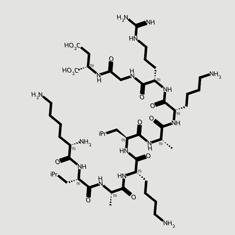 CC(C)C[C@H](NC(=O)[C@H](CCCCN)NC(=O)[C@H](C)NC(=O)[C@H](CC(C)C)NC(=O)[C@@H](N)CCCCN)C(=O)N[C@@H](C)C(=O)N[C@@H](CCCCN)C(=O)N[C@@H](CCCNC(=N)N)C(=O)NCC(=O)N[C@@H](CC(=O)O)C(=O)O